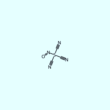 N#CS(C#N)(C#N)N=O